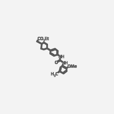 CCOC(=O)CC1CCC(c2ccc(NC(=O)Nc3cc(C)ccc3OC)cc2)CC1